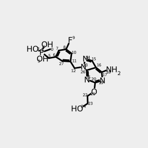 CP(O)(O)(O)Cc1cc(F)cc(Cn2ncc3c(N)nc(OCCO)nc32)c1